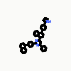 c1ccc(-c2cc(-c3ccc(-c4ccc(-c5ccc[nH]5)cc4)c4ccccc34)nc(-c3ccc(-c4cccc5ccccc45)cc3)n2)cc1